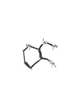 CCCSC1=C(C)C=CCN1